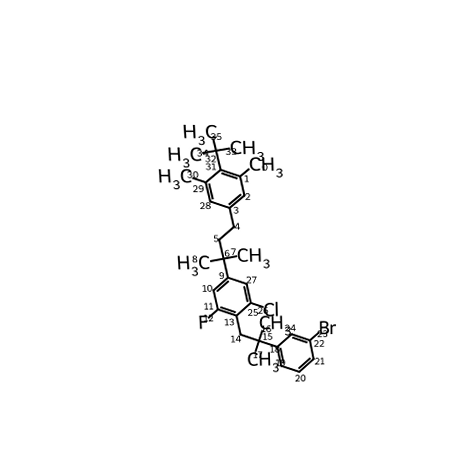 Cc1cc(CCC(C)(C)c2cc(F)c(CC(C)(C)c3cccc(Br)c3)c(Cl)c2)cc(C)c1C(C)(C)C